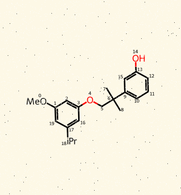 COc1cc(OCC(C)(C)c2cccc(O)c2)cc(C(C)C)c1